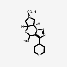 CC(C)(C)C1O[C@@H]2CN(C(=O)O)C[C@H]2n2nnc(C3CCOCC3)c21